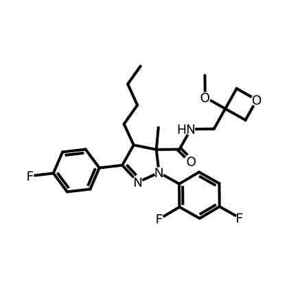 CCCCC1C(c2ccc(F)cc2)=NN(c2ccc(F)cc2F)C1(C)C(=O)NCC1(OC)COC1